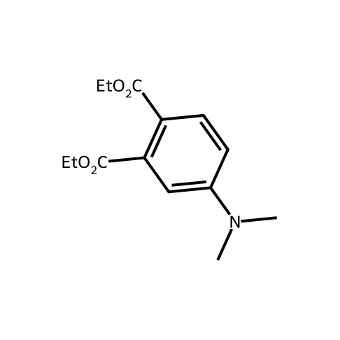 CCOC(=O)c1ccc(N(C)C)cc1C(=O)OCC